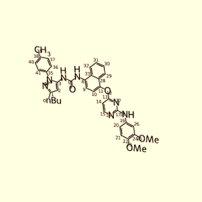 CCCCc1cc(NC(=O)Nc2ccc(Oc3ccnc(Nc4ccc(OC)c(OC)c4)n3)c3ccccc23)n(-c2ccc(C)cc2)n1